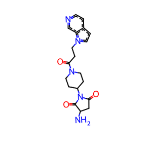 NC1CC(=O)N(C2CCN(C(=O)CCn3ccc4ccncc43)CC2)C1=O